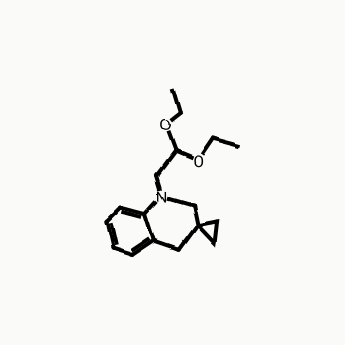 CCOC(CN1CC2(CC2)Cc2ccccc21)OCC